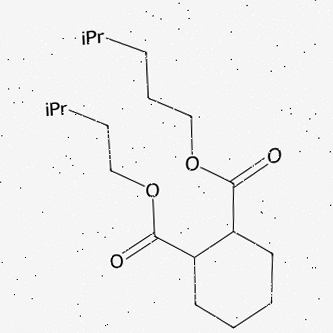 CC(C)CCCOC(=O)C1CCCCC1C(=O)OCCC(C)C